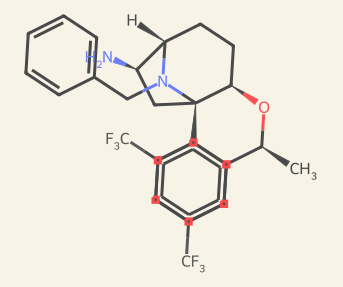 C[C@H](O[C@@H]1CC[C@H]2[C@H](N)C[C@]1(c1ccccc1)N2Cc1ccccc1)c1cc(C(F)(F)F)cc(C(F)(F)F)c1